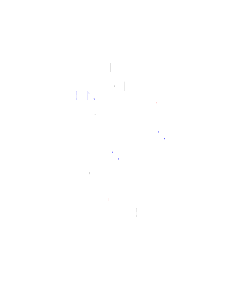 COCC(C)N1C(=O)/C(=C2/COCCN2)c2cc(NC(C)C)ccc21